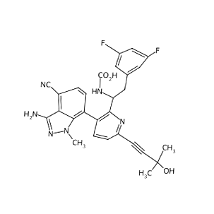 Cn1nc(N)c2c(C#N)ccc(-c3ccc(C#CC(C)(C)O)nc3C(Cc3cc(F)cc(F)c3)NC(=O)O)c21